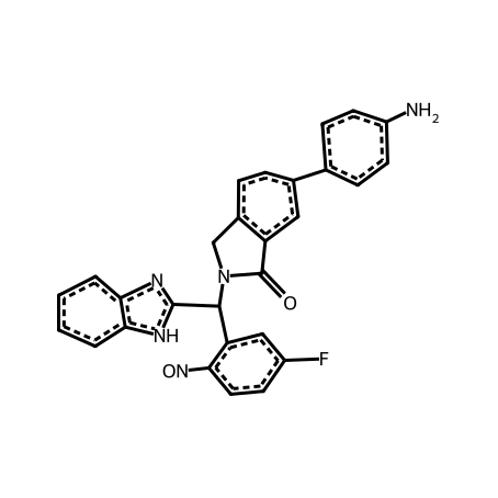 Nc1ccc(-c2ccc3c(c2)C(=O)N(C(c2nc4ccccc4[nH]2)c2cc(F)ccc2N=O)C3)cc1